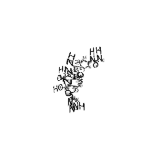 CNC(=O)Nc1ccc(C(N)C(=O)NC2C(=O)N3C(C(=O)O)=C(CSc4c[nH]nn4)CS[C@@H]23)cc1